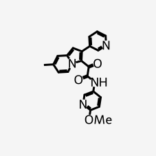 COc1ccc(NC(=O)C(=O)c2c(-c3cccnc3)cc3cc(C)ccn23)cn1